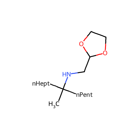 CCCCCCCC(C)(CCCCC)NCC1OCCO1